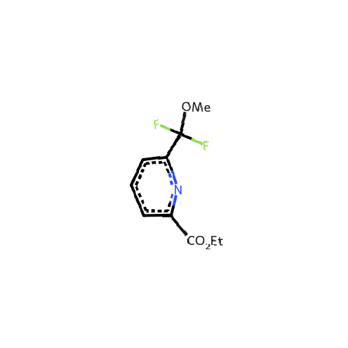 CCOC(=O)c1cccc(C(F)(F)OC)n1